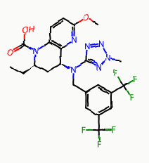 CC[C@@H]1C[C@H](N(Cc2cc(C(F)(F)F)cc(C(F)(F)F)c2)c2nnn(C)n2)c2nc(OC)ccc2N1C(=O)O